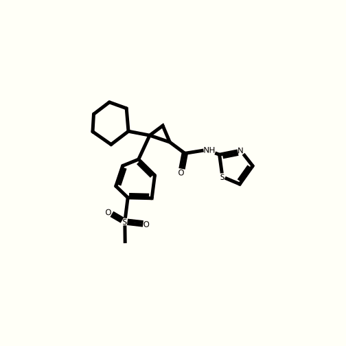 CS(=O)(=O)c1ccc(C2(C3CCCCC3)CC2C(=O)Nc2nccs2)cc1